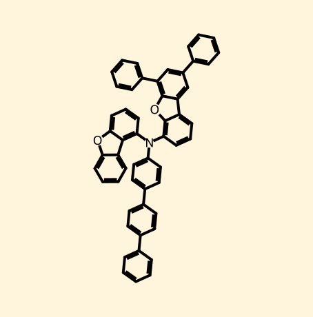 c1ccc(-c2ccc(-c3ccc(N(c4cccc5c4oc4c(-c6ccccc6)cc(-c6ccccc6)cc45)c4cccc5oc6ccccc6c45)cc3)cc2)cc1